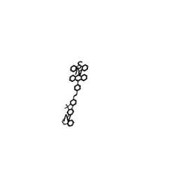 CC1(C)c2cc(/C=C/c3ccc(-c4c5ccccc5c(N5c6ccccc6Sc6ccccc65)c5ccccc45)cc3)ccc2-c2ccc(N3CCCc4ccccc43)cc21